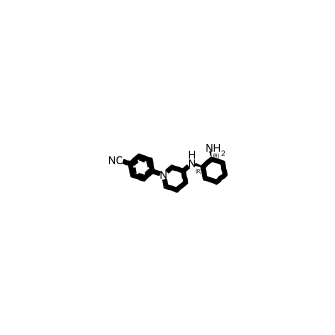 N#Cc1ccc(N2CCCC(N[C@@H]3CCCC[C@H]3N)C2)cc1